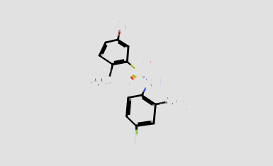 COc1ccc(Br)cc1S(=O)(=O)Nc1ccc(F)cc1[N+](=O)[O-]